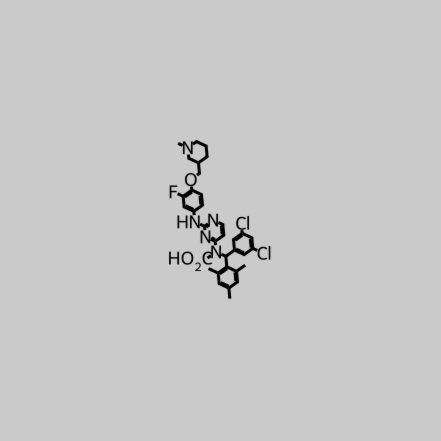 Cc1cc(C)c(C(c2cc(Cl)cc(Cl)c2)N(C(=O)O)c2ccnc(Nc3ccc(OCC4CCCN(C)C4)c(F)c3)n2)c(C)c1